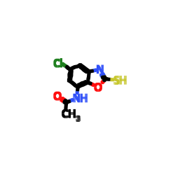 CC(=O)Nc1cc(Cl)cc2nc(S)oc12